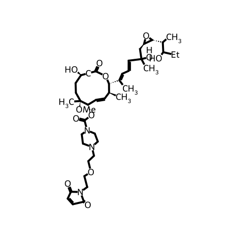 CCC(O)C(C)[C@H]1O[C@@H]1CC(C)(O)/C=C/C=C(\C)[C@H]1OC(=O)C[C@H](O)CC[C@@](C)(OC)[C@@H](OC(=O)N2CCN(CCOCCN3C(=O)C=CC3=O)CC2)/C=C/[C@@H]1C